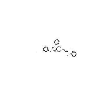 Nc1ccccc1N(N)CCCN1CCC2(CC1)C(=O)N(Cc1cccc(C(=O)O)c1)CN2c1ccccc1